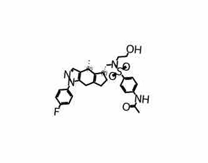 CC(=O)Nc1ccc(S(=O)(=O)N(CCO)C[C@@H]2CCC3=C2[C@@H](C)c2cnn(-c4ccc(F)cc4)c2C3)cc1